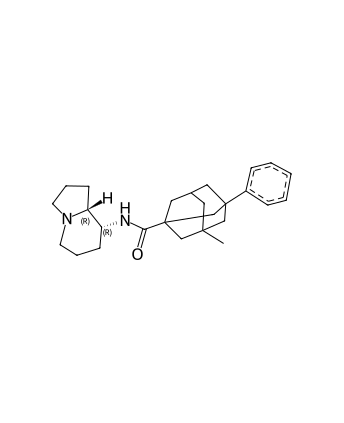 CC12CC3CC(C(=O)N[C@@H]4CCCN5CCC[C@H]45)(C1)CC(c1ccccc1)(C3)C2